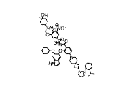 CC(C)c1ccccc1[C@@H]1CCCN1C1CC2(CCN(c3ccc(C(=O)NS(=O)(=O)c4cc5c(c([N+](=O)[O-])c4)N[C@@H]([C@H]4CC[C@](C)(O)CC4)CO5)c(Oc4cc5cc[nH]c5nc4OC4CCCCC4)c3)CC2)C1